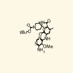 COc1c(N)ncnc1Nc1cc(C)c2n(c1=O)C1(CCN(C(=O)OC(C)(C)C)CC1)NC2=O